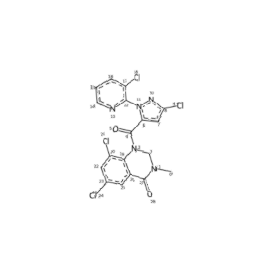 CN1CN(C(=O)c2cc(Cl)nn2-c2ncccc2Cl)c2c(Cl)cc(Cl)cc2C1=O